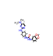 CN(C)c1ccnc(NC2CCC(NC(=O)Nc3ccc4c(c3)OCO4)CC2)n1